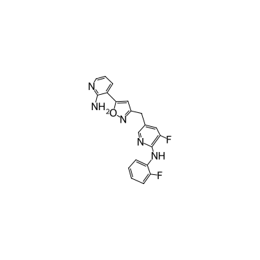 Nc1ncccc1-c1cc(Cc2cnc(Nc3ccccc3F)c(F)c2)no1